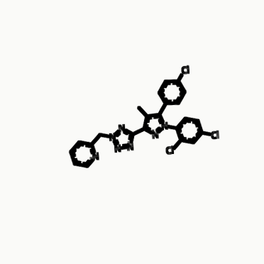 Cc1c(-c2nnn(Cc3ccccn3)n2)nn(-c2ccc(Cl)cc2Cl)c1-c1ccc(Cl)cc1